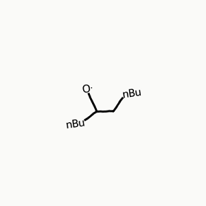 CCCCCC([O])CCCC